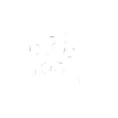 CC1=CC(C)[C]([Zr+2](=[C](c2ccccc2)c2ccccc2)[CH]2c3ccc(C(C)(C)C)cc3-c3cc(C(C)(C)C)ccc32)=C1C12CC3CC(CC(C3)C1)C2.[Cl-].[Cl-]